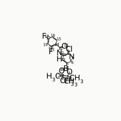 CC1(C)OB(c2cnc(Cl)c(NC(=O)c3ccc(F)cc3F)c2)OC1(C)C